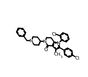 Cc1c2c(n(-c3ccccc3Cl)c1-c1ccc(Cl)cc1)CCN(C1CCN(Cc3ccccc3)CC1)C2=O